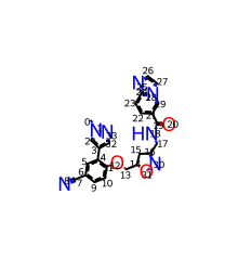 Cn1cc(-c2cc(C#N)ccc2OCC2CC(CNC(=O)c3ccc4nccn4c3)=NO2)cn1